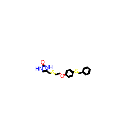 O=c1[nH]cc(CSCCOc2ccc(SCc3ccccc3)cc2)[nH]1